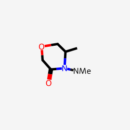 CNN1C(=O)COCC1C